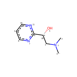 [CH2]N(C)C[C@@H](O)c1ncccn1